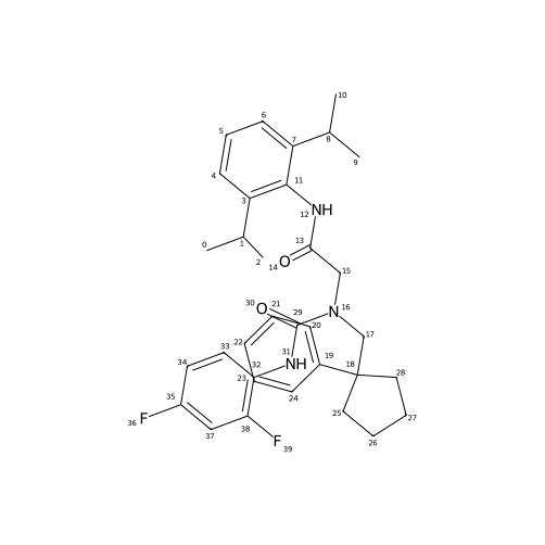 CC(C)c1cccc(C(C)C)c1NC(=O)CN(CC1(c2ccccc2)CCCC1)C(=O)Nc1ccc(F)cc1F